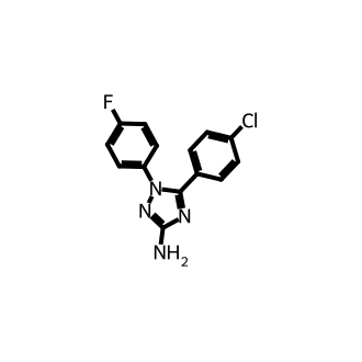 Nc1nc(-c2ccc(Cl)cc2)n(-c2ccc(F)cc2)n1